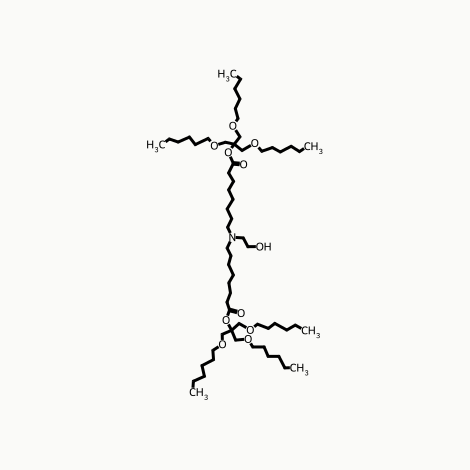 CCCCCCOCC(COCCCCCC)(COCCCCCC)OC(=O)CCCCCCCN(CCO)CCCCCCCC(=O)OC(COCCCCCC)(COCCCCCC)COCCCCCC